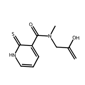 C=C(O)CN(C)C(=O)c1ccc[nH]c1=S